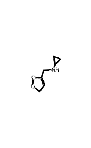 C1=C(CNC2CC2)OOC1